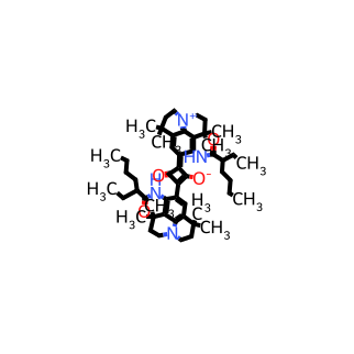 CCCCC(CC)C(=O)Nc1c(C2=C([O-])/C(=c3/cc4c5c(c3NC(=O)C(CC)CCCC)C(C)(C)CC[N+]=5CCC4(C)C)C2=O)cc2c3c1C(C)(C)CCN3CCC2(C)C